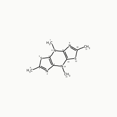 Cc1nc2c(s1)N(C)c1nc(C)sc1N2C